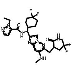 CCn1nccc1C(=O)N[C@H](c1cn2nc(CC3CC(F)(F)CNC3=O)c(NC)cc2n1)C1CCC(F)(F)CC1